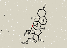 COCC(=O)[C@@]1(O)C(C)C[C@H]2[C@@H]3CCC4CC(=O)CC[C@]4(C)[C@@]3(OCCCF)CC[C@@]21C